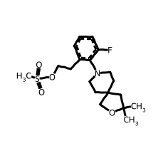 CC1(C)CC2(CCN(c3c(F)cccc3CCOS(C)(=O)=O)CC2)CO1